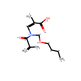 C=C(C)C(=O)N(C=C(C)C(=O)O)COCCCC